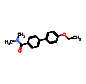 CCOc1ccc(-c2ccc(C(=O)N(C)C)cc2)cc1